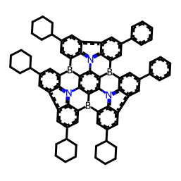 c1ccc(-c2cc3c4c(c2)c2cc(C5CCCCC5)cc5c2n4-c2c4c6c7c8c2B5c2cc(C5CCCCC5)cc5c9cc(C%10CCCCC%10)cc(c9n-8c25)B7c2cc(C5CCCCC5)cc5c7cc(-c8ccccc8)cc(c7n-6c25)B43)cc1